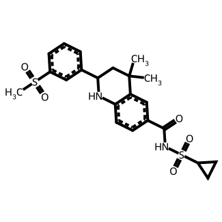 CC1(C)CC(c2cccc(S(C)(=O)=O)c2)Nc2ccc(C(=O)NS(=O)(=O)C3CC3)cc21